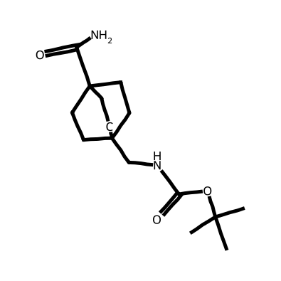 CC(C)(C)OC(=O)NCC12CCC(C(N)=O)(CC1)CC2